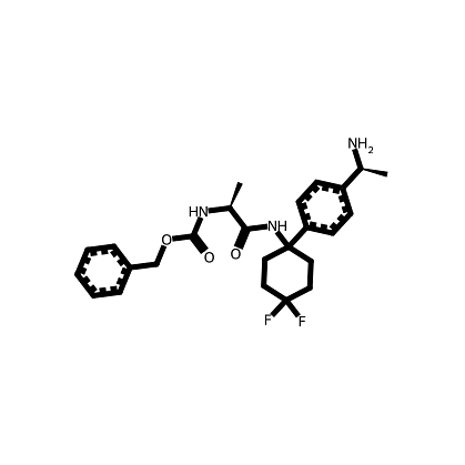 C[C@H](NC(=O)OCc1ccccc1)C(=O)NC1(c2ccc([C@H](C)N)cc2)CCC(F)(F)CC1